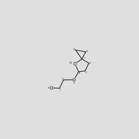 [O]CCOC1CCC2(CC2)O1